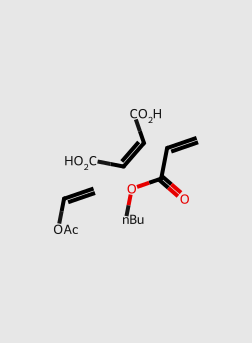 C=CC(=O)OCCCC.C=COC(C)=O.O=C(O)/C=C\C(=O)O